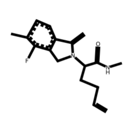 C=CCCC(C(=O)NC)N1Cc2c(ccc(C)c2F)C1=C